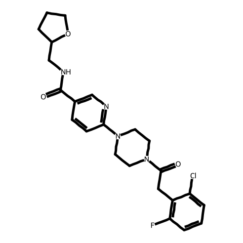 O=C(NCC1CCCO1)c1ccc(N2CCN(C(=O)Cc3c(F)cccc3Cl)CC2)nc1